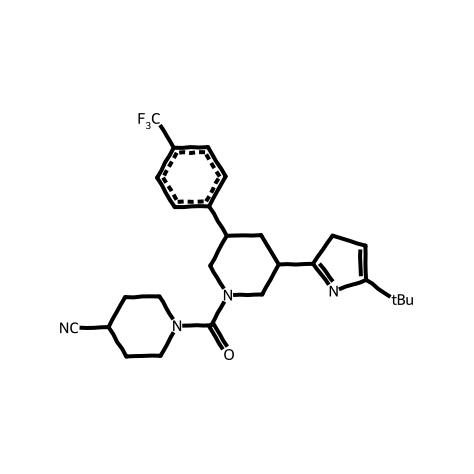 CC(C)(C)C1=CCC(C2CC(c3ccc(C(F)(F)F)cc3)CN(C(=O)N3CCC(C#N)CC3)C2)=N1